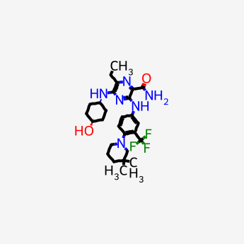 CCc1nc(C(N)=O)c(Nc2ccc(N3CCCC(C)(C)C3)c(C(F)(F)F)c2)nc1N[C@H]1CC[C@H](O)CC1